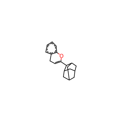 C1=C(C2C3CC4CC(C3)CC2C4)Oc2ccccc2C1